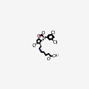 CC(=O)N(C[C@@H]1[C@@H](C/C=C\CCCC(=O)O)[C@H](Cl)C[C@H]1O)c1cc(Cl)cc(Cl)c1